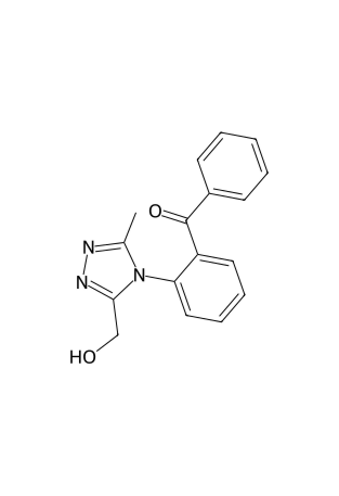 Cc1nnc(CO)n1-c1ccccc1C(=O)c1ccccc1